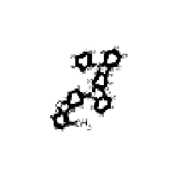 Cc1cccc2oc3ccc(-n4c5ccccc5c5cc6c7ccccc7n(-c7ccccc7)c6cc54)cc3c12